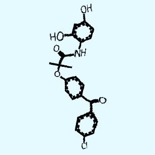 CC(C)(Oc1ccc(C(=O)c2ccc(Cl)cc2)cc1)C(=O)Nc1ccc(O)cc1O